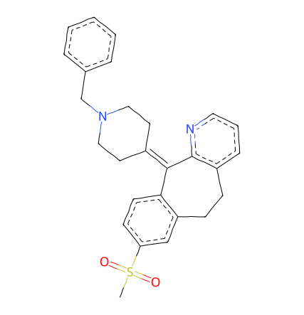 CS(=O)(=O)c1ccc2c(c1)CCc1cccnc1C2=C1CCN(Cc2ccccc2)CC1